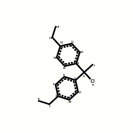 CCc1ccc(C(C)(Cl)c2ccc(CC)cc2)cc1